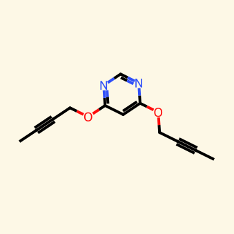 CC#CCOc1cc(OCC#CC)ncn1